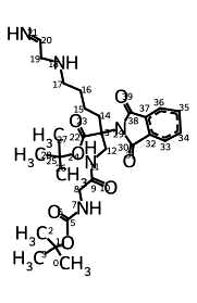 CC(C)(C)OC(=O)NCC(=O)NCC(CCCCNCC=N)(C(=O)OC(C)(C)C)N1C(=O)c2ccccc2C1=O